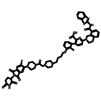 Cc1c(OCCCCC2CCN(CC(=O)N3CCN(c4cc5c(cc4F)C(=O)N(C4CCC(=O)NC4=O)C5=O)CC3)CC2)cccc1-c1ccc(N2CCc3cccc(C(=O)Nc4nc5ccccc5s4)c3C2)nc1C(=O)O